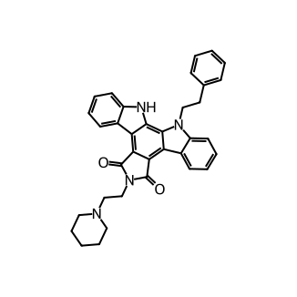 O=C1c2c(c3c4ccccc4n(CCc4ccccc4)c3c3[nH]c4ccccc4c23)C(=O)N1CCN1CCCCC1